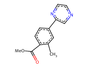 COC(=O)c1ccc(-c2cnccn2)cc1C